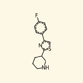 Fc1ccc(-c2csc(C3CCCNC3)n2)cc1